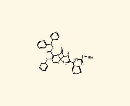 CC(C)(C)OC(=O)NC(C(=O)N[C@@H]1C(=O)N2C(C(=O)OC(c3ccccc3)c3ccccc3)=C(Sc3ccccc3)CS[C@@H]12)c1ccccc1